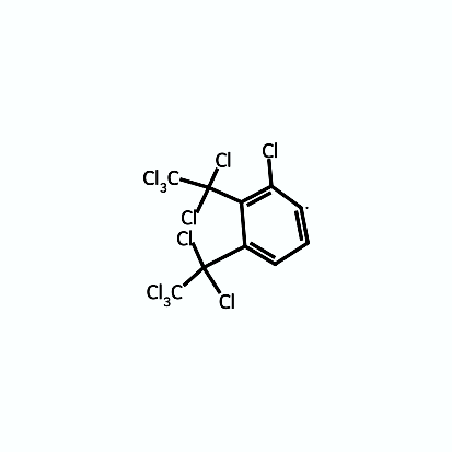 Clc1[c]ccc(C(Cl)(Cl)C(Cl)(Cl)Cl)c1C(Cl)(Cl)C(Cl)(Cl)Cl